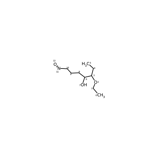 CCOC(CC)C(O)CCCN=O